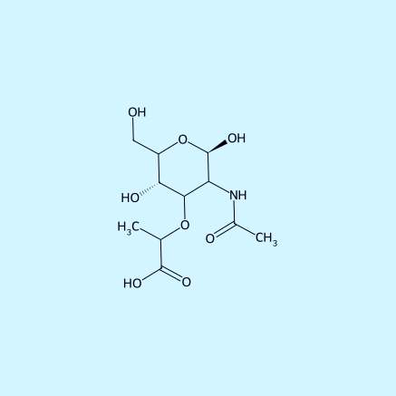 CC(=O)NC1C(OC(C)C(=O)O)[C@H](O)C(CO)O[C@H]1O